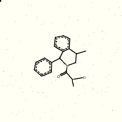 CC(Cl)C(=O)N1CC(C)c2ccccc2C1c1ccccc1